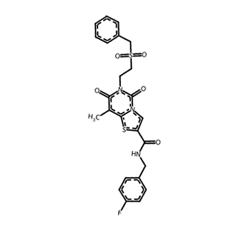 Cc1c(=O)n(CCS(=O)(=O)Cc2ccccc2)c(=O)n2cc(C(=O)NCc3ccc(F)cc3)sc12